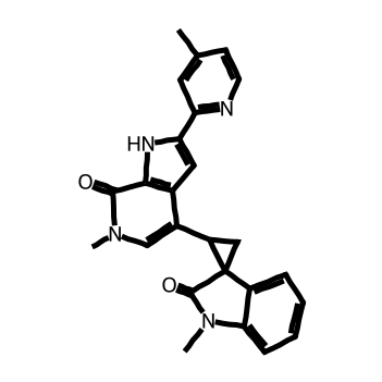 Cc1ccnc(-c2cc3c(C4CC45C(=O)N(C)c4ccccc45)cn(C)c(=O)c3[nH]2)c1